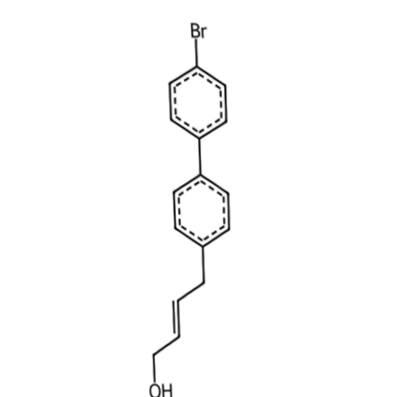 OC/C=C/Cc1ccc(-c2ccc(Br)cc2)cc1